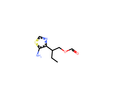 CCC(COC=O)c1ncsc1N